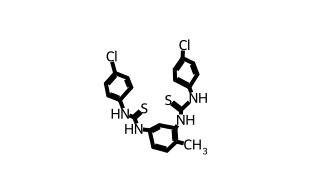 Cc1ccc(NC(=S)Nc2ccc(Cl)cc2)cc1NC(=S)Nc1ccc(Cl)cc1